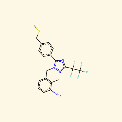 CSCc1ccc(-c2nc(C(F)(F)C(F)(F)F)nn2Cc2cccc(N)c2C)cc1